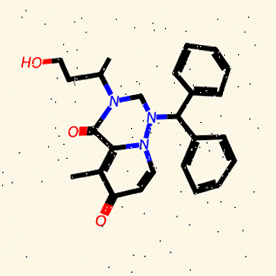 Cc1c2n(ccc1=O)N(C(c1ccccc1)c1ccccc1)CN(C(C)CCO)C2=O